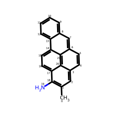 Cc1cc2ccc3cc4ccccc4c4ccc(c1N)c2c34